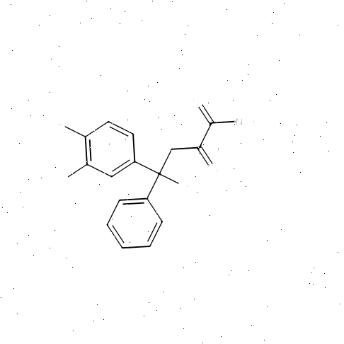 CN(O)C(=O)C(=O)CC(O)(c1ccccc1)c1ccc(F)c(F)c1